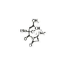 CC(=O)OC1CC(=O)N1C(=O)C(C=C(C)C)(C(C)(C)C)C(F)(F)F